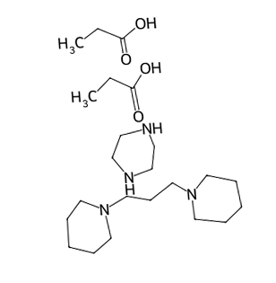 C1CCN(CCCN2CCCCC2)CC1.C1CNCCN1.CCC(=O)O.CCC(=O)O